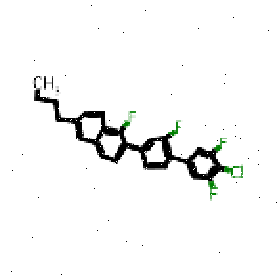 CCCCc1ccc2c(F)c(-c3ccc(-c4cc(F)c(Cl)c(F)c4)c(F)c3)ccc2c1